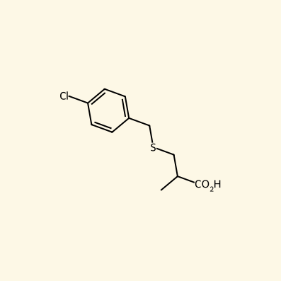 CC(CSCc1ccc(Cl)cc1)C(=O)O